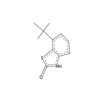 CC(C)(C)c1cccc2[nH]c(=O)sc12